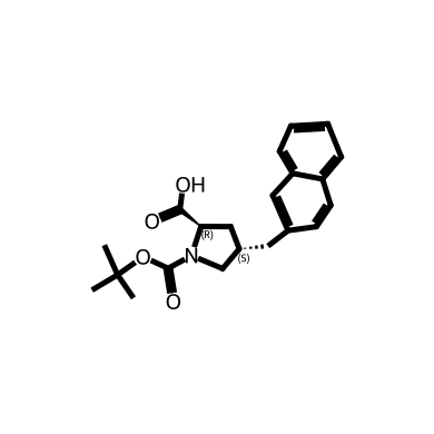 CC(C)(C)OC(=O)N1C[C@@H](Cc2ccc3ccccc3c2)C[C@@H]1C(=O)O